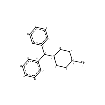 C[CH]N1CCN(C(c2ccccc2)c2ccccc2)CC1